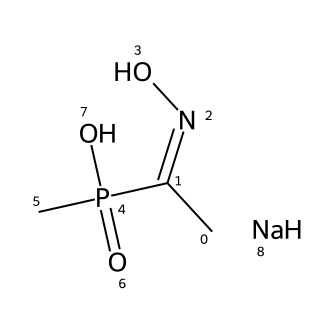 CC(=NO)P(C)(=O)O.[NaH]